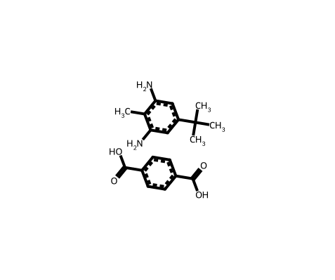 Cc1c(N)cc(C(C)(C)C)cc1N.O=C(O)c1ccc(C(=O)O)cc1